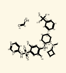 CN(C1CCC1)[C@H]1C[C@@H](c2cccc(C(F)(F)F)c2)CC[C@@H]1Nc1cc(F)c(S(=O)(=O)Nc2ccncn2)cc1F.O=CO